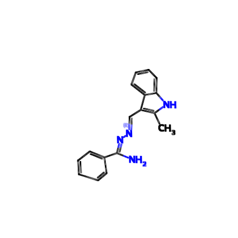 Cc1[nH]c2ccccc2c1/C=N/N=C(N)c1ccccc1